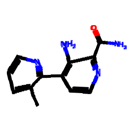 Cc1cccnc1-c1ccnc(C(N)=O)c1N